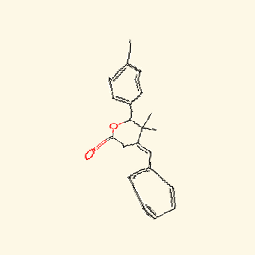 Cc1ccc(C2OC(=O)CC(=Cc3ccccc3)C2(C)C)cc1